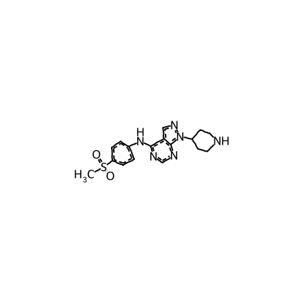 CS(=O)(=O)c1ccc(Nc2ncnc3c2cnn3C2CCNCC2)cc1